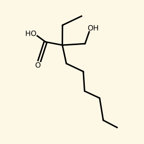 CCCCCCC(CC)(CO)C(=O)O